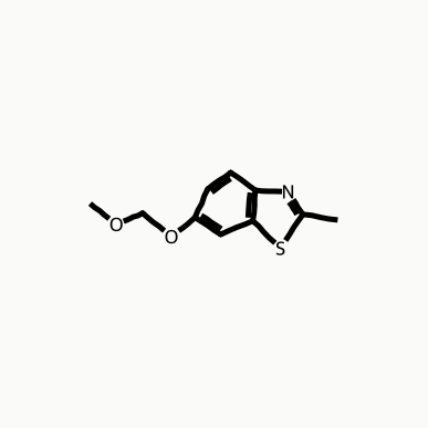 COCOc1ccc2nc(C)sc2c1